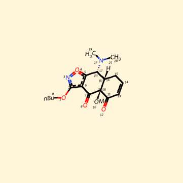 CCCCOc1noc2c1C(=O)[C@@]1(OC)C(=O)C=CC[C@H]1[C@H]2N(C)C